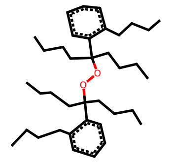 CCCCc1ccccc1C(CCCC)(CCCC)OOC(CCCC)(CCCC)c1ccccc1CCCC